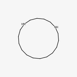 C1CCCCCCNCCCCNCCCCC1